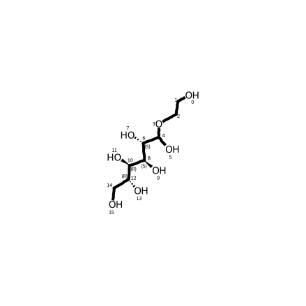 OCCOC(O)[C@@H](O)[C@@H](O)[C@H](O)[C@H](O)CO